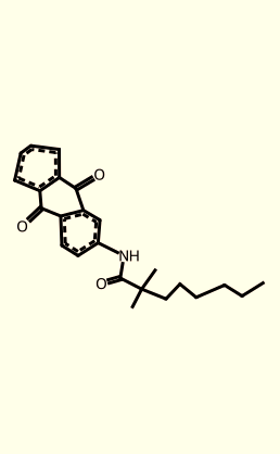 CCCCCCC(C)(C)C(=O)Nc1ccc2c(c1)C(=O)c1ccccc1C2=O